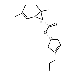 CCCC1=CC[C@@H](OC(=O)[C@@H]2C(C=C(C)C)C2(C)C)C1